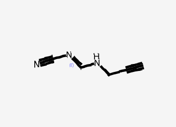 C#CCN/[C]=N/C#N